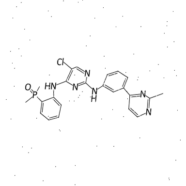 Cc1nccc(-c2cccc(Nc3ncc(Cl)c(Nc4ccccc4P(C)(C)=O)n3)c2)n1